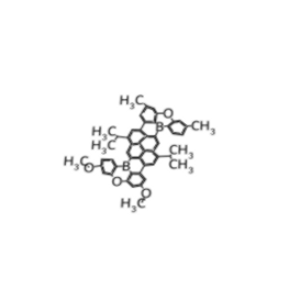 COc1ccc2c(c1)Oc1cc(OC)cc3c1B2c1cc2c(C(C)C)cc4c5c(cc6c(C(C)C)cc-3c1c6c25)B1c2ccc(C)cc2Oc2cc(C)cc-4c21